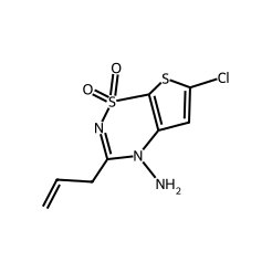 C=CCC1=NS(=O)(=O)c2sc(Cl)cc2N1N